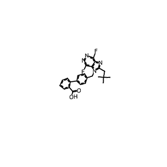 CC(C)(C)Cc1nc2c(F)nnc(F)c2n1Cc1ccc(-c2ccccc2C(=O)O)cc1